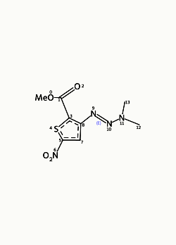 COC(=O)c1sc([N+](=O)[O-])cc1/N=N/N(C)C